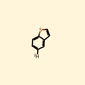 [2H]c1ccc2sccc2c1